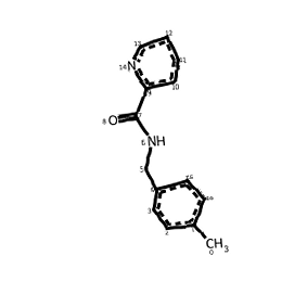 Cc1ccc(CNC(=O)c2ccccn2)cc1